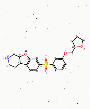 O=S(=O)(c1cccc(OCC2CCCO2)c1)c1ccc2c(c1)OC1CNCCC21